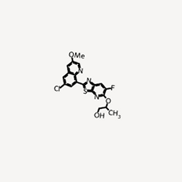 COc1cnc2c(-c3nc4cc(F)c(OC(C)CO)nc4s3)cc(Cl)cc2c1